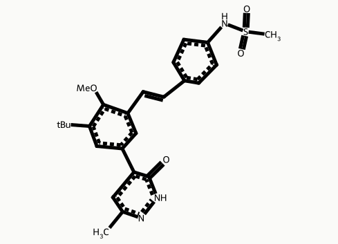 COc1c(C=Cc2ccc(NS(C)(=O)=O)cc2)cc(-c2cc(C)n[nH]c2=O)cc1C(C)(C)C